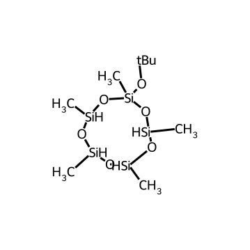 C[SiH]1O[SiH](C)O[SiH](C)O[Si](C)(OC(C)(C)C)O[SiH](C)O1